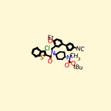 [C-]#[N+]c1ccc(-c2ccc(OCC)c(CN(C(=O)c3sc4ccccc4c3Cl)[C@H]3CC[C@H](N(C)C(=O)OC(C)(C)C)CC3)c2)cc1